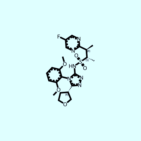 COc1cccc(OC)c1-n1c(NS(=O)(=O)[C@@H](C)[C@H](C)c2ncc(F)cn2)nnc1[C@H]1CCOC1